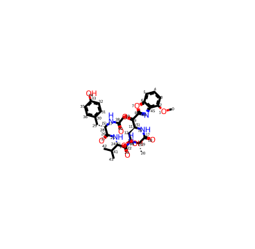 COc1cccc2oc(C(=O)[C@H](CC(=O)O)NC(=O)[C@H](C)NC(=O)[C@@H](NC(=O)[C@H](Cc3ccc(O)cc3)NC(C)=O)C(C)C)nc12